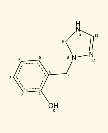 Oc1ccccc1CN1CNC=N1